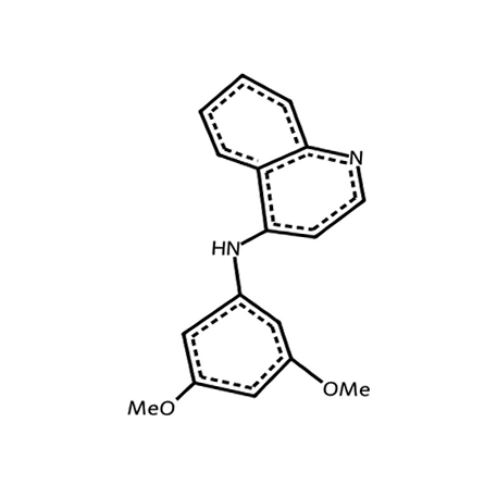 COc1cc(Nc2ccnc3ccccc23)cc(OC)c1